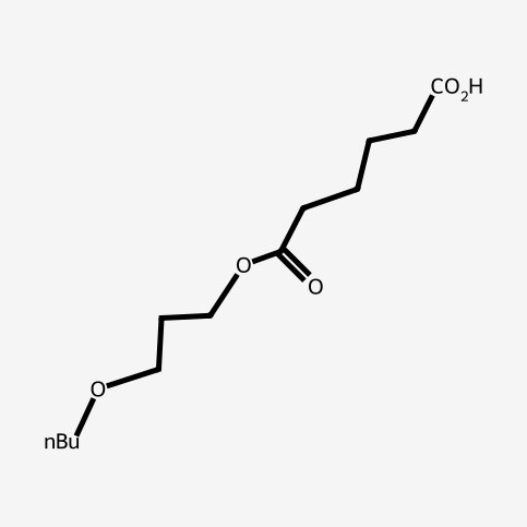 CCCCOCCCOC(=O)CCCCC(=O)O